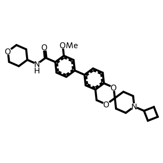 COc1cc(-c2ccc3c(c2)COC2(CCN(C4CCC4)CC2)O3)ccc1C(=O)NC1CCOCC1